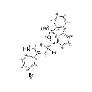 CC(C)(C)[Si](OCC(F)(F)Cc1c[nH]c2ccc(Br)cc12)(c1ccccc1)c1ccccc1